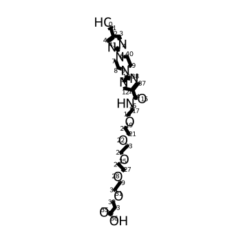 C#Cc1cnc(N2CCN(c3ncc(C(=O)NCCOCCOCCOCCOCCOCCC(=O)O)cn3)CC2)nc1